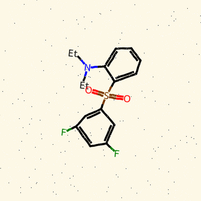 CCN(CC)c1ccccc1S(=O)(=O)c1cc(F)cc(F)c1